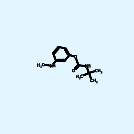 CNc1cccc(OC(=O)NC(C)(C)C)c1